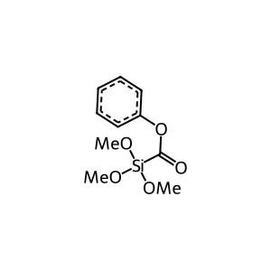 CO[Si](OC)(OC)C(=O)Oc1ccccc1